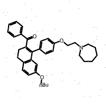 CCCCOc1ccc2c(c1)C(c1ccc(OCCN3CCCCCC3)cc1)=C(C(=O)c1ccccc1)CC2